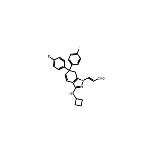 O=CC=Cn1nc(NC2CCC2)c2c1CC(c1ccc(F)cc1)(c1ccc(F)cc1)C=C2